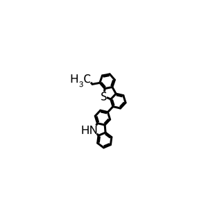 CCc1cccc2c1sc1c(-c3ccc4[nH]c5ccccc5c4c3)cccc12